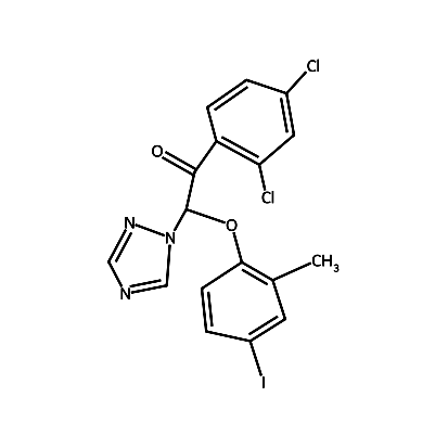 Cc1cc(I)ccc1OC(C(=O)c1ccc(Cl)cc1Cl)n1cncn1